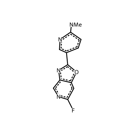 CNc1ccc(-c2nc3cnc(F)cc3o2)cn1